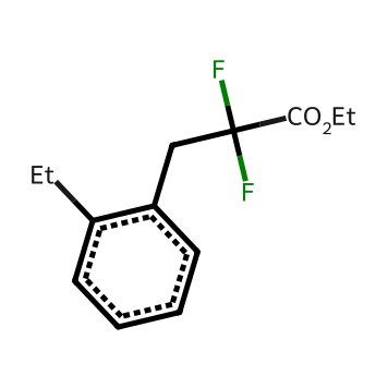 CCOC(=O)C(F)(F)Cc1ccccc1CC